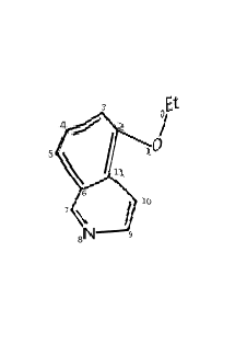 [CH2]COc1cccc2cnccc12